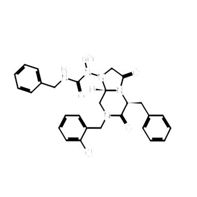 CCCN(C(=O)NCc1ccccc1)N1CC(=O)N2[C@@H](Cc3ccccc3)C(=O)N(Cc3ccccc3Cl)C[C@@H]21